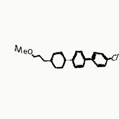 COCCC[C@H]1CC[C@H](c2ccc(-c3ccc(Cl)cc3)cc2)CC1